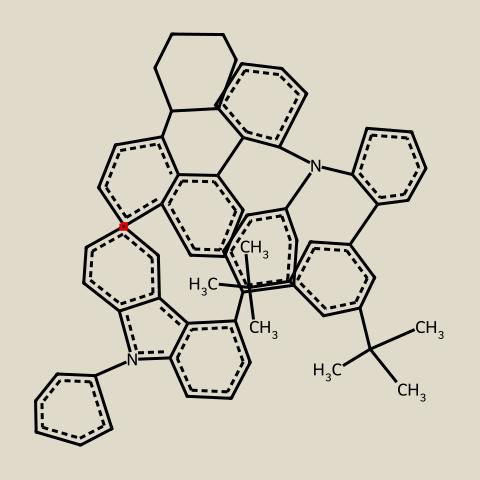 CC(C)(C)c1cc(-c2ccccc2N(c2ccc(-c3cccc4c3c3ccccc3n4-c3ccccc3)cc2)c2ccccc2-c2cccc3cccc(C4CCCCC4)c23)cc(C(C)(C)C)c1